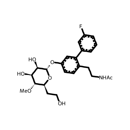 CO[C@@H]1[C@@H](O)[C@@H](O)[C@H](Oc2ccc(CCNC(C)=O)c(-c3cccc(F)c3)c2)O[C@H]1CCO